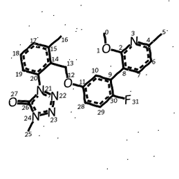 COc1nc(C)ccc1-c1cc(OCc2c(C)cccc2-n2nnn(C)c2=O)ccc1F